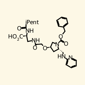 CCCC(C)C(=O)N[C@@H](CNC(=O)CO[C@@H]1C[C@@H](CNc2ccccn2)N(C(=O)OCc2ccccc2)C1)C(=O)O